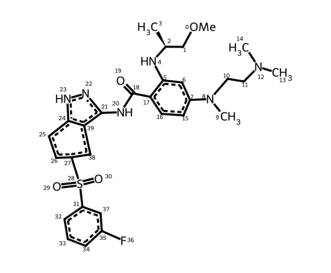 COC[C@H](C)Nc1cc(N(C)CCN(C)C)ccc1C(=O)Nc1n[nH]c2ccc(S(=O)(=O)c3cccc(F)c3)cc12